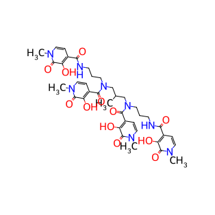 CC(CN(CCCNC(=O)c1ccn(C)c(=O)c1O)C(=O)c1ccn(C)c(=O)c1O)CN(CCCNC(=O)c1ccn(C)c(=O)c1O)C(=O)c1ccn(C)c(=O)c1O